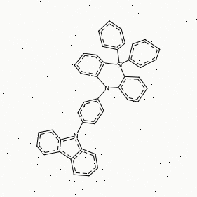 c1ccc([Si]2(c3ccccc3)c3ccccc3N(c3ccc(-n4c5ccccc5c5ccccc54)cc3)c3ccccc32)cc1